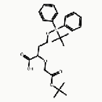 CC(C)(C)OC(=O)COC(CCO[Si](c1ccccc1)(c1ccccc1)C(C)(C)C)C(=O)O